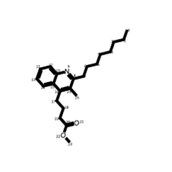 CCCCCCCCc1nc2ccccc2c(CCCC(=O)OC)c1C